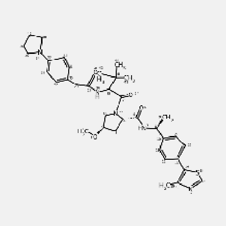 CO[C@@H]1C[C@@H](C(=O)N[C@@H](C)c2ccc(-c3scnc3C)cc2)N(C(=O)C(NC(=O)Cc2ccc(N3CCCC3)cc2)C(C)(C)C)C1